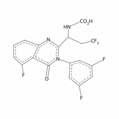 O=C(O)NC(CC(F)(F)F)c1nc2cccc(F)c2c(=O)n1-c1cc(F)cc(F)c1